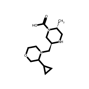 C[C@@H]1CN[C@@H](CN2CCOCC2C2CC2)CN1C(=O)O